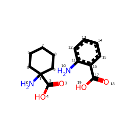 NC1(C(=O)O)CCCCC1.Nc1ccccc1C(=O)O